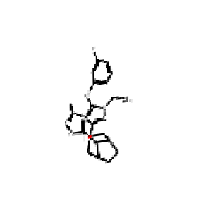 Cc1noc(N2CC3CCC(C2)C3Nc2nc(Oc3cccc(F)c3)n(CC(F)(F)F)n2)n1